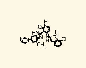 Cc1cc(-n2ccnc2)cc2[nH]c(-c3c(N[C@H](CO)Cc4cccc(Cl)c4)cc[nH]c3=O)nc12